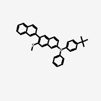 CSc1cc2cc(N(c3ccccc3)c3ccc(C(C)(C)C)cc3)ccc2cc1-c1ccc2ccccc2c1